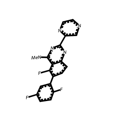 CNc1nc(-c2cnccn2)nc2ccc(-c3cc(F)ccc3F)c(F)c12